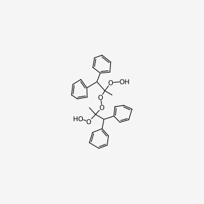 CC(OO)(OOC(C)(OO)C(c1ccccc1)c1ccccc1)C(c1ccccc1)c1ccccc1